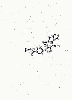 O=C(NC1CC1)c1ccc(-n2cc(C(O)C3N(C4CC4)Cc4cncn43)nn2)cc1